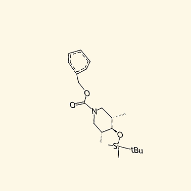 C[C@@H]1CN(C(=O)OCc2ccccc2)C[C@H](C)[C@H]1O[Si](C)(C)C(C)(C)C